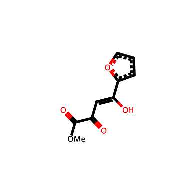 COC(=O)C(=O)C=C(O)c1ccco1